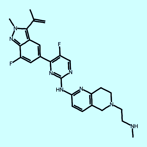 C=C(C)c1c2cc(-c3nc(Nc4ccc5c(n4)CCN(CCNC)C5)ncc3F)cc(F)c2nn1C